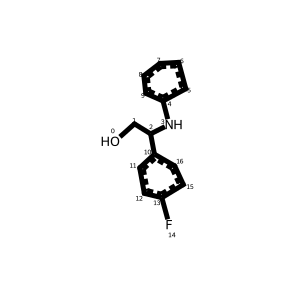 OCC(Nc1ccccc1)c1ccc(F)cc1